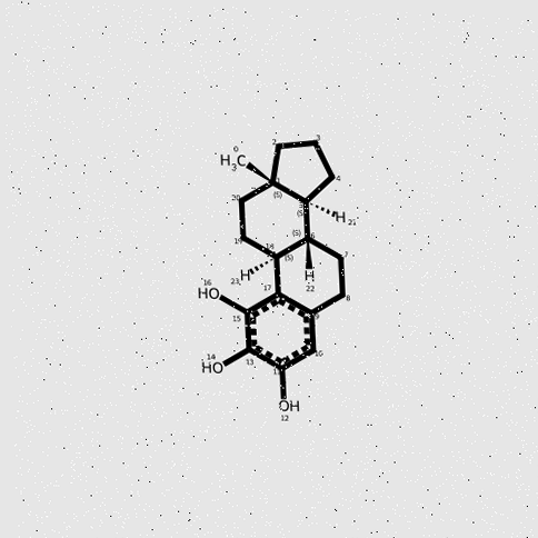 C[C@@]12CCC[C@H]1[C@@H]1CCc3cc(O)c(O)c(O)c3[C@H]1CC2